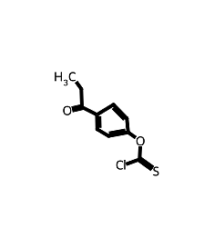 CCC(=O)c1ccc(OC(=S)Cl)cc1